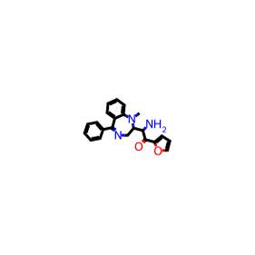 CN1c2ccccc2C(c2ccccc2)=NCC1C(N)C(=O)c1ccco1